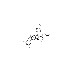 Cc1c(C=C(c2cc(F)cc(F)c2)S(C)(=O)=O)nn(-c2ccc(Cl)cc2Cl)c1-c1ccc(Br)cc1